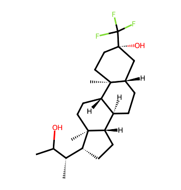 CC(O)[C@@H](C)[C@H]1CC[C@H]2[C@@H]3CC[C@H]4C[C@](O)(C(F)(F)F)CC[C@]4(C)[C@H]3CC[C@]12C